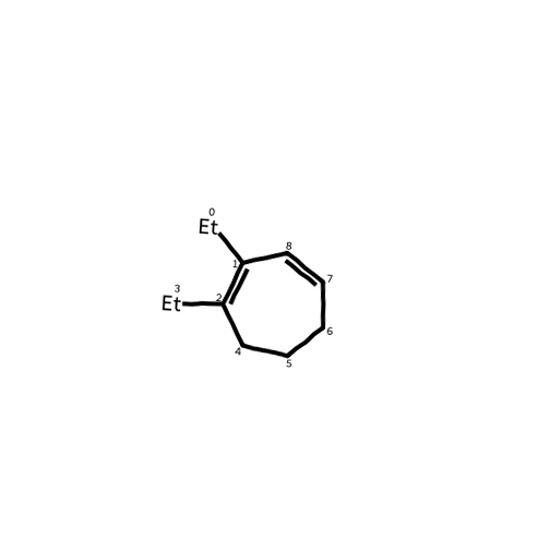 CCC1=C(CC)CCCC=C1